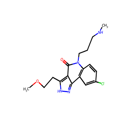 CNCCCn1c(=O)c2c(CCOC)[nH]nc2c2cc(Cl)ccc21